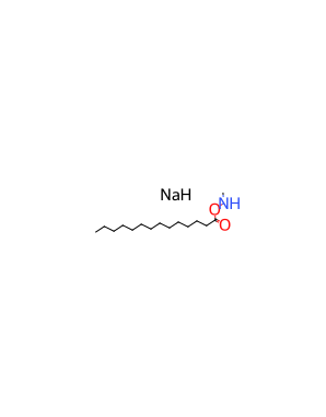 CCCCCCCCCCCCCC(=O)ONC.[NaH]